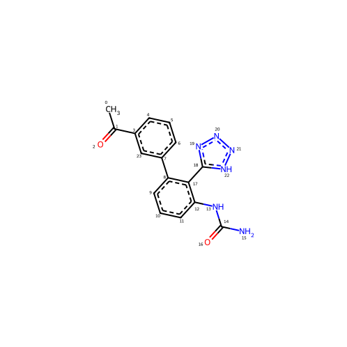 CC(=O)c1cccc(-c2cccc(NC(N)=O)c2-c2nnn[nH]2)c1